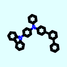 c1ccc(-c2cccc(-c3ccc(N(c4ccccc4)c4ccc(-n5c6ccccc6c6ccccc65)cc4)cc3)c2)cc1